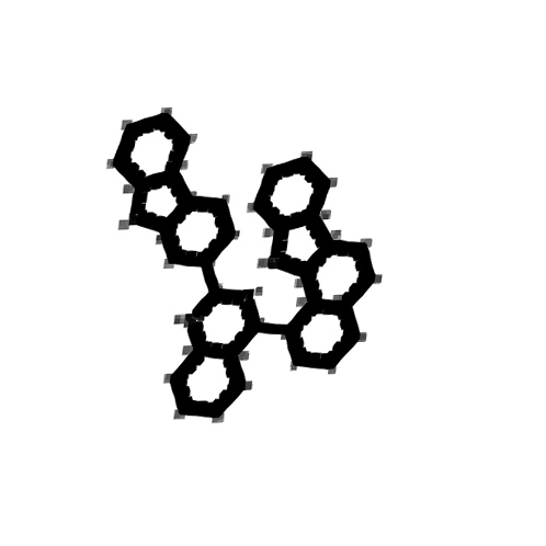 c1cc(-c2nc(-c3ccc4c(c3)sc3ccccc34)nc3ccccc23)c2c(c1)ccc1c3ccccc3oc12